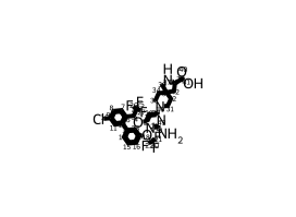 Nc1nc(O[C@H](c2ccc(Cl)cc2-c2cccc(OC(F)(F)F)c2)C(F)(F)F)cc(N2CCC3(CC2)CNC(C(=O)O)C3)n1